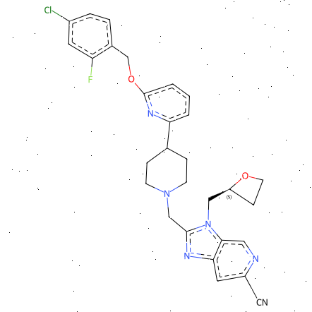 N#Cc1cc2nc(CN3CCC(c4cccc(OCc5ccc(Cl)cc5F)n4)CC3)n(C[C@@H]3CCO3)c2cn1